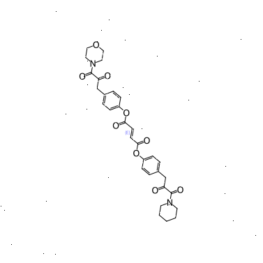 O=C(/C=C/C(=O)Oc1ccc(CC(=O)C(=O)N2CCOCC2)cc1)Oc1ccc(CC(=O)C(=O)N2CCCCC2)cc1